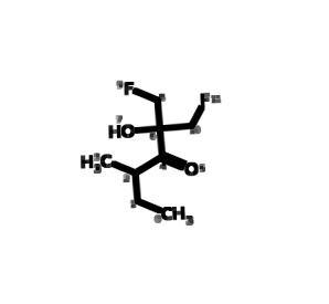 CCC(C)C(=O)C(O)(CF)CF